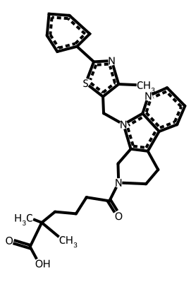 Cc1nc(-c2ccccc2)sc1Cn1c2c(c3cccnc31)CCN(C(=O)CCCC(C)(C)C(=O)O)C2